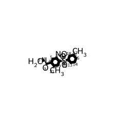 C=NC(=O)c1cc([N+](=O)[O-])c(S(=O)(=O)c2cccc(C)c2)cc1C